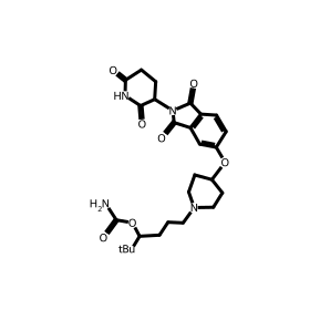 CC(C)(C)C(CCCN1CCC(Oc2ccc3c(c2)C(=O)N(C2CCC(=O)NC2=O)C3=O)CC1)OC(N)=O